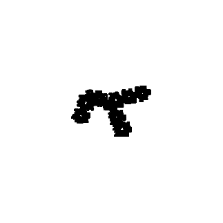 c1ccc(-c2ccc(-c3ccc4c(c3)c(-c3ccc(-c5ccccc5)cc3)cn4-c3ccc4sc5ccc(-c6ccccc6)cc5c4c3)cc2)cc1